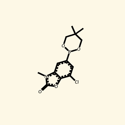 Cn1c(=O)oc2c(Cl)cc(B3OCC(C)(C)CO3)cc21